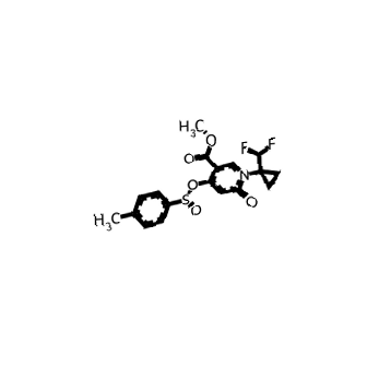 COC(=O)c1cn(C2(C(F)F)CC2)c(=O)cc1OS(=O)c1ccc(C)cc1